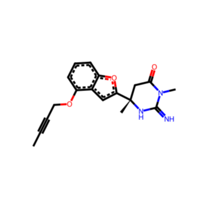 CC#CCOc1cccc2oc([C@]3(C)CC(=O)N(C)C(=N)N3)cc12